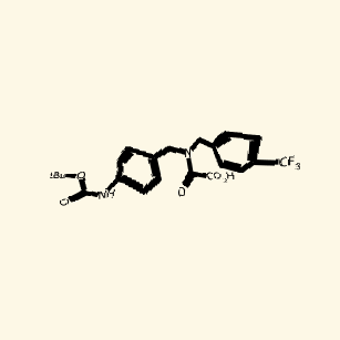 CC(C)(C)OC(=O)Nc1ccc(CN(Cc2ccc(C(F)(F)F)cc2)C(=O)C(=O)O)cc1